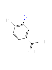 C=C(C)c1ccc(C(C)C)c(N)c1